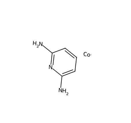 Nc1cccc(N)n1.[Co]